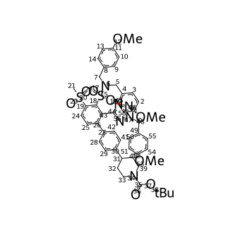 COc1ccc(CN(Cc2ccc(OC)cc2)S(=O)(=O)c2c(S(C)(=O)=O)ccc(-c3ccc(C4CCN(C(=O)OC(C)(C)C)CC4)cc3)c2-c2nnn(Cc3ccc(OC)cc3)n2)cc1